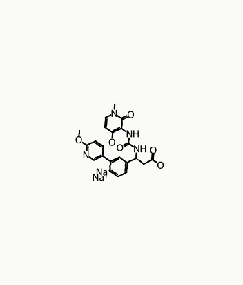 COc1ccc(-c2cccc([C@H](CC(=O)[O-])NC(=O)Nc3c([O-])ccn(C)c3=O)c2)cn1.[Na+].[Na+]